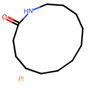 O=C1CCCCCCCCCCCN1.[P]